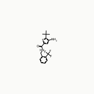 CC(C)(C)c1sc(C(=O)NCc2ccccc2C(F)(F)F)cc1N